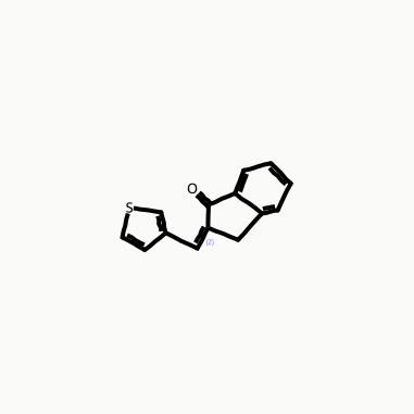 O=C1/C(=C\c2ccsc2)Cc2ccccc21